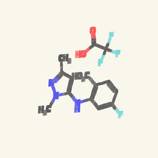 Cc1cc(Nc2cc(F)ccc2C(=O)O)n(C)n1.O=C(O)C(F)(F)F